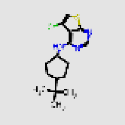 CC(C)(C)C1CCC(Nc2ncnc3scc(Cl)c23)CC1